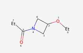 CCOC1CN(C(=O)CC)C1